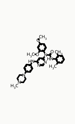 COc1ccc(N(C(=O)Nc2c(C)cccc2C)c2cc(Nc3ccc(N4CCN(C)CC4)cc3)ncn2)c(OC)c1